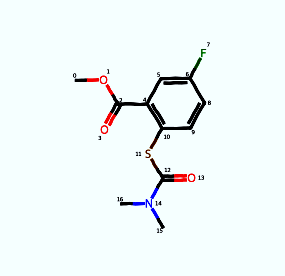 COC(=O)c1cc(F)ccc1SC(=O)N(C)C